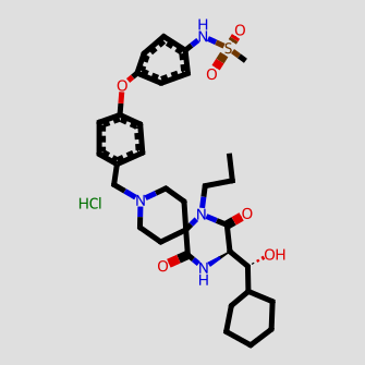 CCCN1C(=O)[C@@H]([C@H](O)C2CCCCC2)NC(=O)C12CCN(Cc1ccc(Oc3ccc(NS(C)(=O)=O)cc3)cc1)CC2.Cl